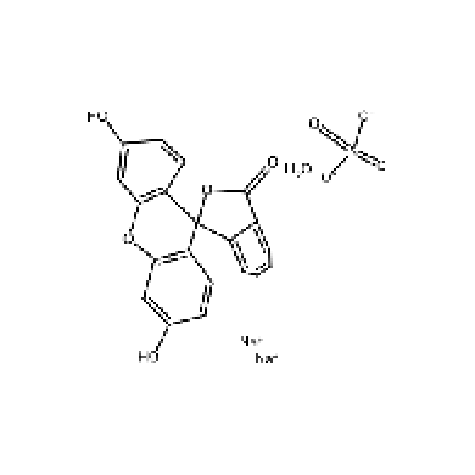 O.O=C1OC2(c3ccc(O)cc3Oc3cc(O)ccc32)c2ccccc21.O=S(=O)([O-])[O-].[Na+].[Na+]